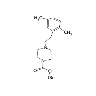 Cc1ccc(C)c(CCN2CCN(C(=O)OC(C)(C)C)CC2)c1